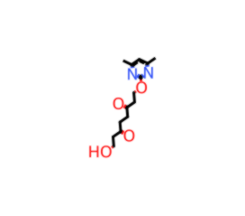 Cc1cc(C)nc(OCCC(=O)CCC(=O)CCO)n1